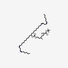 CCCCC/C=C\C/C=C\CCCCCCCCC(CCCCCCCC/C=C\C/C=C\CCCCC)OC(=O)OCCN(C)CCNC(=O)OC(C)(C)C